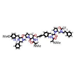 CN[C@@H](C)C(=O)N[C@@H](Cc1ccc(C#CCO[C@H](C)[C@H](NC(=O)[C@H](C)NC)C(=O)N2CCC[C@H]2CN(CCc2ccccc2)C(=O)[C@H](N)Cc2ccc(OC)cc2)cc1)C(=O)N1CCC[C@H]1CN(CCc1ccccc1)C(=O)C(F)(F)F